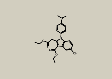 CCOC(=O)Cc1c(C(=O)OCC)c2cc(O)ccc2n1-c1ccc(N(C)C)cc1